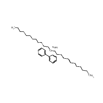 CCCCCCCCCCCCOCCCCCCCCCCCC.[NaH].c1ccc(-c2ccccc2)cc1